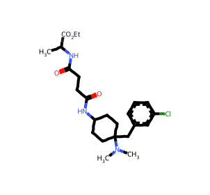 CCOC(=O)C(C)NC(=O)CCC(=O)NC1CCC(Cc2cccc(Cl)c2)(N(C)C)CC1